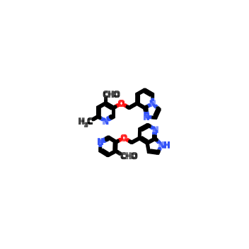 Cc1cc(C=O)c(OCc2cccn3ccnc23)cn1.O=Cc1ccncc1OCc1ccnc2[nH]ccc12